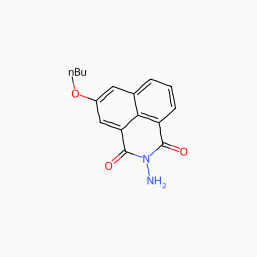 CCCCOc1cc2c3c(cccc3c1)C(=O)N(N)C2=O